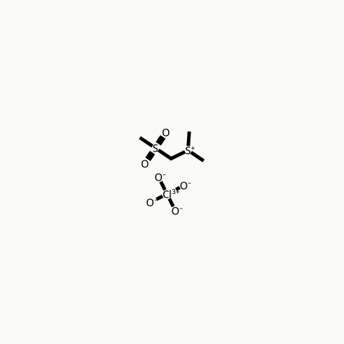 C[S+](C)CS(C)(=O)=O.[O-][Cl+3]([O-])([O-])[O-]